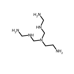 NCCN(CNCN)CNCN